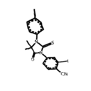 Cc1ccc(N2C(=S)N(c3ccc(C#N)c(I)c3)C(=O)C2(C)C)cc1